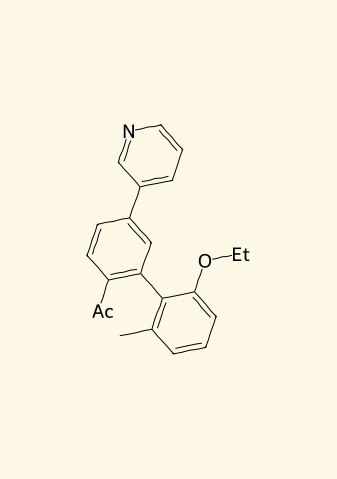 CCOc1cccc(C)c1-c1cc(-c2cccnc2)ccc1C(C)=O